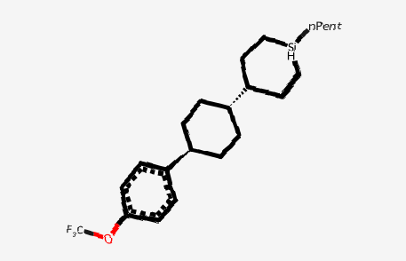 CCCCC[SiH]1CCC([C@H]2CC[C@H](c3ccc(OC(F)(F)F)cc3)CC2)CC1